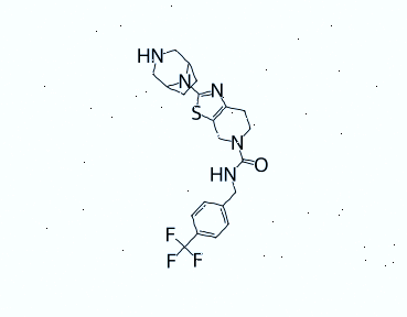 O=C(NCc1ccc(C(F)(F)F)cc1)N1CCc2nc(N3C4CCC3CNC4)sc2C1